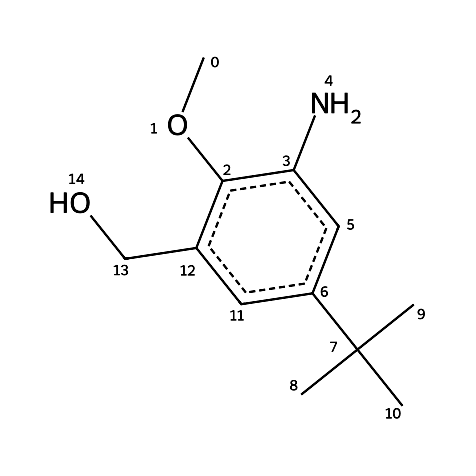 COc1c(N)cc(C(C)(C)C)cc1CO